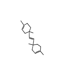 CC1=CCC(C)(/C=C/C2(C)CC=C(C)CC2)CC1